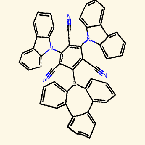 N#Cc1c(B2c3ccccc3-c3ccccc3-c3ccccc32)c(C#N)c(-n2c3ccccc3c3ccccc32)c(C#N)c1-n1c2ccccc2c2ccccc21